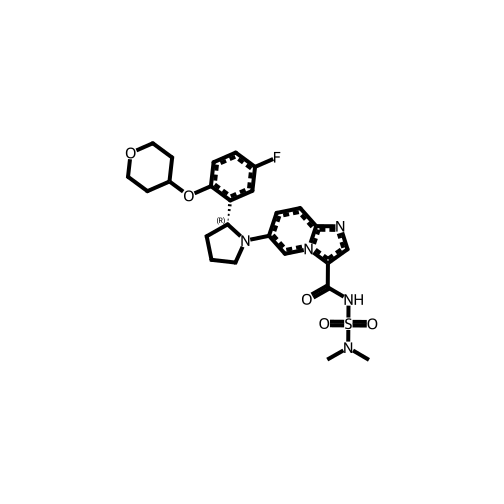 CN(C)S(=O)(=O)NC(=O)c1cnc2ccc(N3CCC[C@@H]3c3cc(F)ccc3OC3CCOCC3)cn12